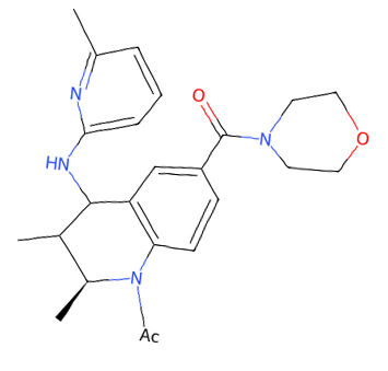 CC(=O)N1c2ccc(C(=O)N3CCOCC3)cc2C(Nc2cccc(C)n2)C(C)[C@@H]1C